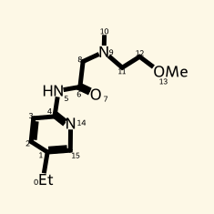 CCc1ccc(NC(=O)CN(C)CCOC)nc1